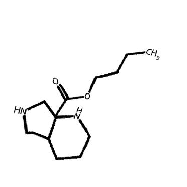 CCCCOC(=O)C12CNCC1CCCN2